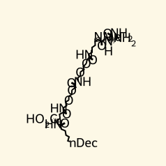 CCCCCCCCCCCCCCCC(=O)N[C@@H](CCC(=O)NCCOCCOCC(=O)NCCOCCOCC(=O)NCCCC[C@H](NC)C(=O)CN[C@@H](CN)C(N)=O)C(=O)O